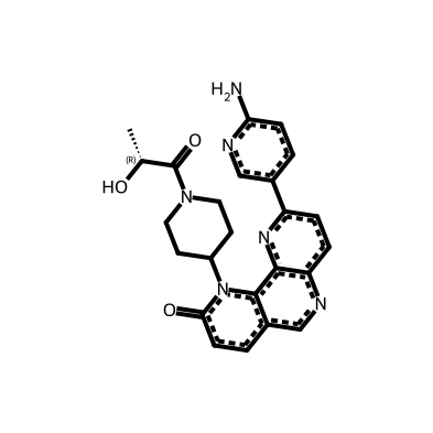 C[C@@H](O)C(=O)N1CCC(n2c(=O)ccc3cnc4ccc(-c5ccc(N)nc5)nc4c32)CC1